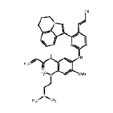 C=CC(=O)Nc1cc(Nc2ncc(C=CC#N)c(-c3cn4c5c(cccc35)CCC4)n2)c(OC)cc1N(C)CCN(C)C